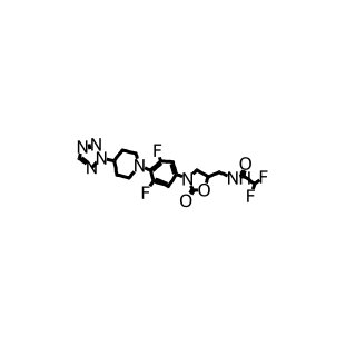 O=C(NCC1CN(c2cc(F)c(N3CCC(n4ncnn4)CC3)c(F)c2)C(=O)O1)C(F)F